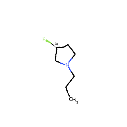 [CH2]CCN1CC[C@H](F)C1